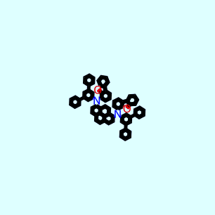 c1ccc(-c2cc(-c3ccccc3)cc(N(c3ccc4ccc5ccc(N(c6cc(-c7ccccc7)cc(-c7ccccc7)c6)c6cccc7c6oc6ccccc67)c6ccc3c4c56)c3cccc4c3oc3ccccc34)c2)cc1